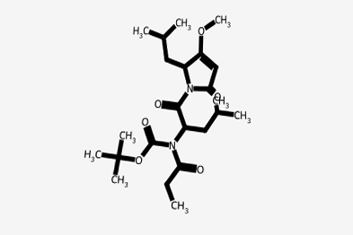 CCC(=O)N(C(=O)OC(C)(C)C)C(CC(C)C)C(=O)N1C(=O)C=C(OC)C1CC(C)C